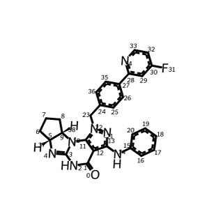 O=C1NC2=N[C@@H]3CCC[C@@H]3N2c2c1c(Nc1ccccc1)nn2Cc1ccc(-c2cc(F)ccn2)cc1